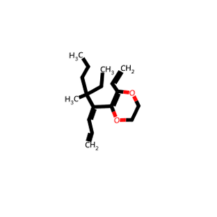 C=C/C=C(\C1=C(C=C)OCCO1)C(C)(CC)CCC